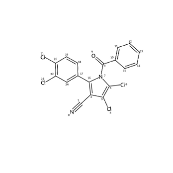 N#Cc1c(Cl)c(Cl)n(C(=O)c2ccccc2)c1-c1ccc(Cl)c(Cl)c1